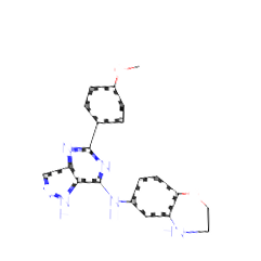 COc1ccc(-c2nc(Nc3ccc4c(c3)NCCO4)c3[nH]ncc3n2)cc1